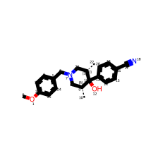 COc1ccc(CN2C[C@@H](C)C(O)(c3ccc(C#N)cc3)[C@@H](C)C2)cc1